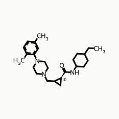 CCC1CCC(NC(=O)[C@H]2CC2CN2CCN(c3cc(C)ccc3C)CC2)CC1